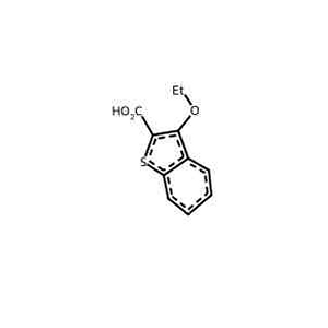 CCOc1c(C(=O)O)sc2ccccc12